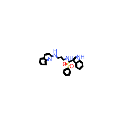 O=S(=O)(c1ccccc1)C(NCCCNc1ccc2ccccc2n1)c1c[nH]c2ccccc12